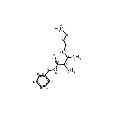 CCCCOC(C)C(N)C(=O)OCc1ccccc1